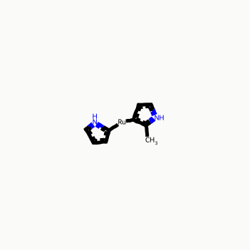 Cc1[nH]cc[c]1[Ru][c]1ccc[nH]1